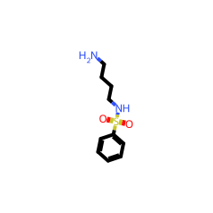 NCCCCNS(=O)(=O)c1ccccc1